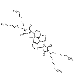 CCCCCCC(CCCCCC)n1c(=O)c2cc3c4cccc5c6c(=O)n(C(CCCCCC)CCCCCC)c(=O)c6c6ssc7ccc(c2c1=O)c3c7c6c45